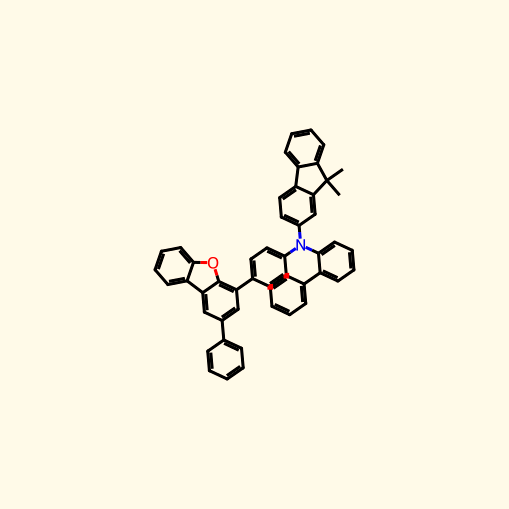 CC1(C)c2ccccc2-c2ccc(N(c3ccc(-c4cc(-c5ccccc5)cc5c4oc4ccccc45)cc3)c3ccccc3-c3ccccc3)cc21